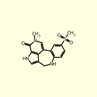 Cn1cc2c3c(c[nH]c3c1=O)CNc1ccc(S(C)(=O)=O)cc1-2